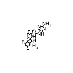 Cc1c([C@@H](NC(=O)Nc2cnc(N)nc2)C(F)(F)F)sc2c(F)cc(F)cc12